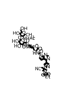 CCS(=O)(=O)N1CC(CC#N)(n2cc(-c3ncnc4c3ccn4C(=O)N[C@@H](CCCCNC(=O)C3O[C@@H](O[C@@H]4C(NC(C)=O)[C@H](C)OC(CO)[C@H]4O)C(O)[C@@H](O)[C@@H]3OC)C(=O)OC)cn2)C1